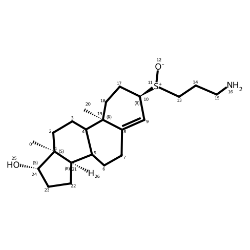 C[C@]12CCC3C(CCC4=C[C@H]([S+]([O-])CCCN)CC[C@@]43C)[C@H]1CC[C@@H]2O